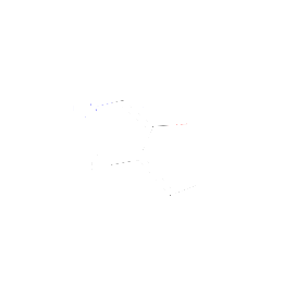 C/C=C(C)\C(O)=C/N